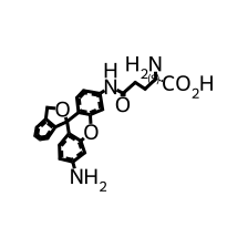 Nc1ccc2c(c1)Oc1cc(NC(=O)CC[C@H](N)C(=O)O)ccc1C21OCc2ccccc21